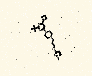 Cn1ccc(OCCCN2CCN(c3cc(C4CCC4)nc(C(C)(C)C)n3)CC2)n1